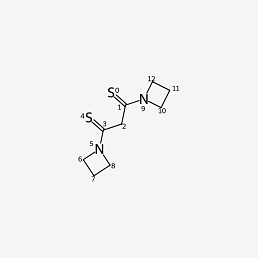 S=C(CC(=S)N1CCC1)N1CCC1